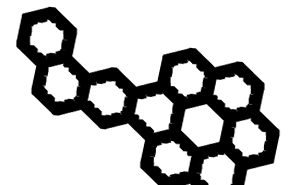 c1ccc2c(c1)ccc1cc3c(cc12)c1ccc2ccc4ccc5ccc6ccc3c3c6c5c4c2c13